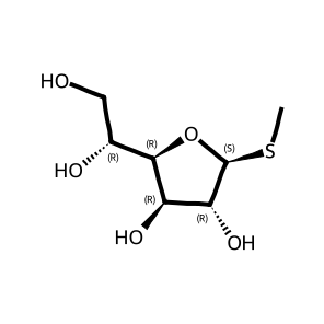 CS[C@@H]1O[C@H]([C@H](O)CO)[C@H](O)[C@H]1O